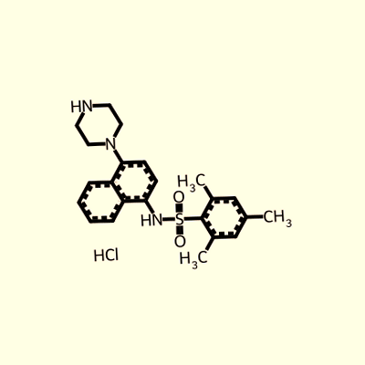 Cc1cc(C)c(S(=O)(=O)Nc2ccc(N3CCNCC3)c3ccccc23)c(C)c1.Cl